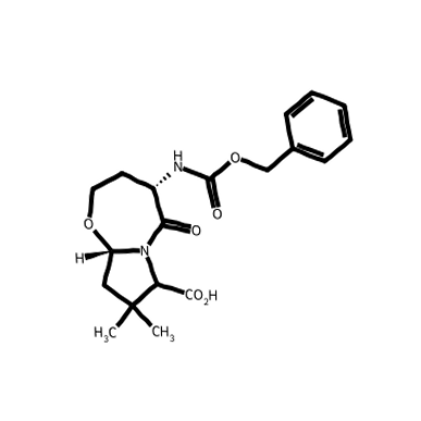 CC1(C)C[C@@H]2OCC[C@H](NC(=O)OCc3ccccc3)C(=O)N2C1C(=O)O